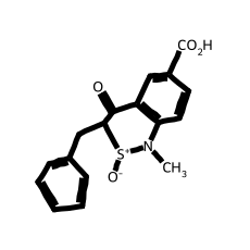 CN1c2ccc(C(=O)O)cc2C(=O)C(Cc2ccccc2)[S+]1[O-]